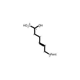 CCCCCCC=CCCC(O)C(=O)O